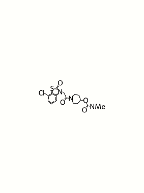 CNC(=O)OC1CCN(C(=O)Cn2c(=O)sc3c(Cl)cccc32)CC1